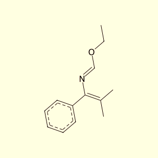 CCO/C=N/C(=C(C)C)c1ccccc1